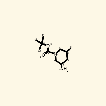 CC1CC(N)CN(C(=O)OC(C)(C)C)C1